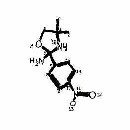 CC1(C)COC(N)(c2ccc([N+](=O)[O-])cc2)N1